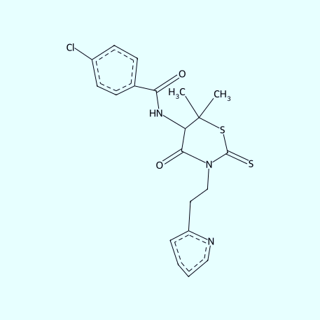 CC1(C)SC(=S)N(CCc2ccccn2)C(=O)C1NC(=O)c1ccc(Cl)cc1